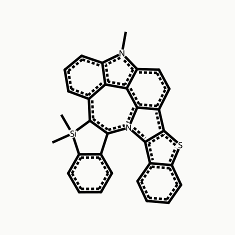 Cn1c2cccc3c4c(n5c6c7ccccc7sc6c6ccc1c(c32)c65)-c1ccccc1[Si]4(C)C